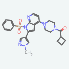 Cn1cc(-c2cc3c(N4CCN(C(=O)C5CCC5)CC4)ccnc3n2S(=O)(=O)c2ccccc2)cn1